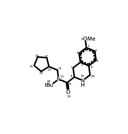 COc1ccc2c(c1)CC(C(=O)N(CC1CCCC1)C(C)(C)C)NC2